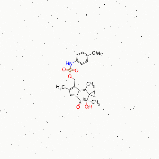 COc1ccc(NS(=O)(=O)OCC2=C(C)C=C3C(=O)[C@](C)(O)C4(CC4)C(C)=C32)cc1